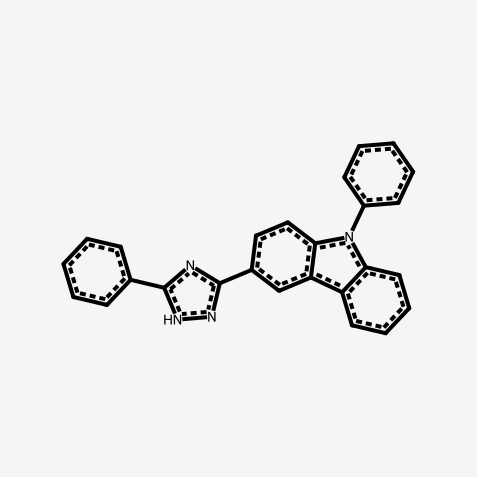 c1ccc(-c2nc(-c3ccc4c(c3)c3ccccc3n4-c3ccccc3)n[nH]2)cc1